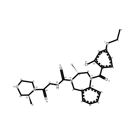 CCOc1ccc(C(=O)N2C[C@@H](C)N(C(=O)NCC(=O)N3CCOC[C@@H]3C)Cc3ccccc32)c(Cl)c1